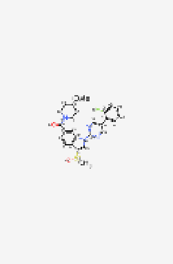 COC1CCN(C(=O)c2ccc3c([S+](C)[O-])cn(-c4ncc(-c5ccccc5F)cn4)c3c2)CC1